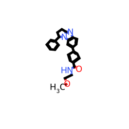 COCCNC(=O)c1ccc(-c2ccc3nc4n(c3c2)C(c2ccccc2)CC4)cc1